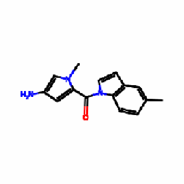 Cc1ccc2c(ccn2C(=O)c2cc(N)cn2C)c1